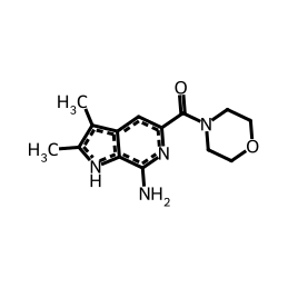 Cc1[nH]c2c(N)nc(C(=O)N3CCOCC3)cc2c1C